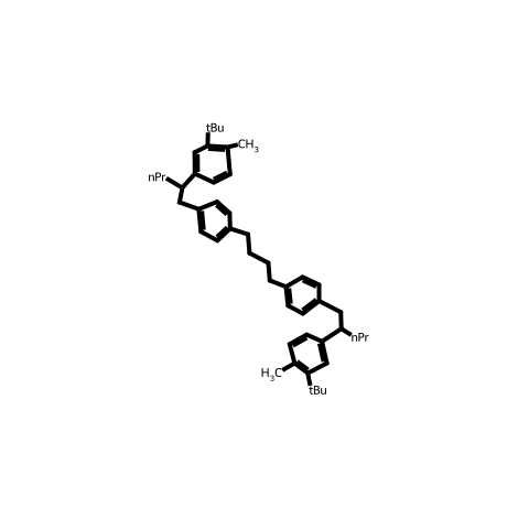 CCCC(Cc1ccc(CCCCc2ccc(CC(CCC)c3ccc(C)c(C(C)(C)C)c3)cc2)cc1)c1ccc(C)c(C(C)(C)C)c1